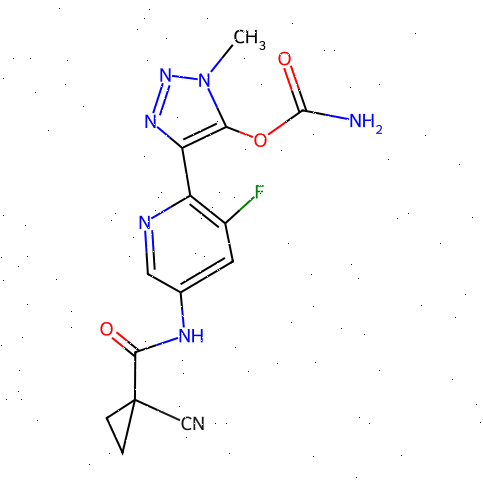 Cn1nnc(-c2ncc(NC(=O)C3(C#N)CC3)cc2F)c1OC(N)=O